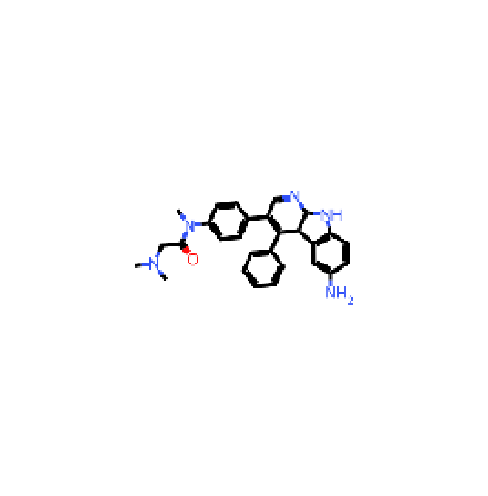 CN(C)CC(=O)N(C)c1ccc(C2=C(c3ccccc3)C3c4cc(N)ccc4NC3N=C2)cc1